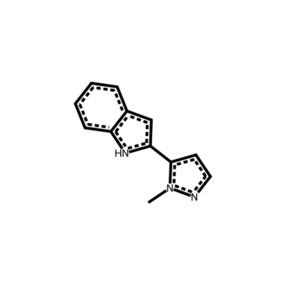 Cn1nccc1-c1cc2ccccc2[nH]1